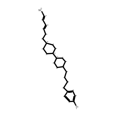 CCc1ccc(CCCCC2CCC(C3CCC(CCC=CC=CC#N)CC3)CC2)cc1